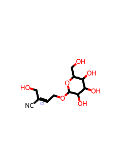 N#C/C(=C/COC1OC(CO)C(O)C(O)C1O)CO